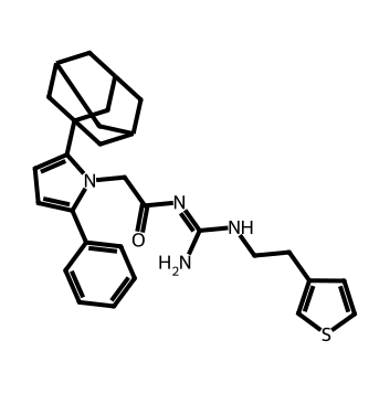 N/C(=N\C(=O)Cn1c(-c2ccccc2)ccc1C12CC3CC(CC(C3)C1)C2)NCCc1ccsc1